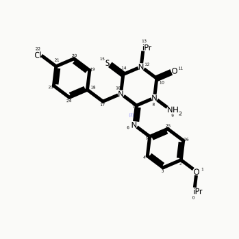 CC(C)Oc1ccc(/N=c2\n(N)c(=O)n(C(C)C)c(=S)n2Cc2ccc(Cl)cc2)cc1